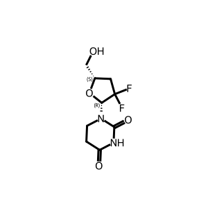 O=C1CCN([C@@H]2O[C@H](CO)CC2(F)F)C(=O)N1